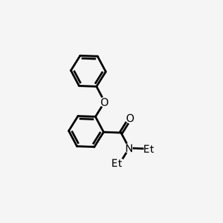 CCN(CC)C(=O)c1ccccc1Oc1ccccc1